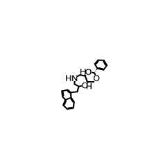 c1ccc([C@@H]2OC[C@H]3OC(Cc4cccc5ccccc45)CNC[C@@H]3O2)cc1